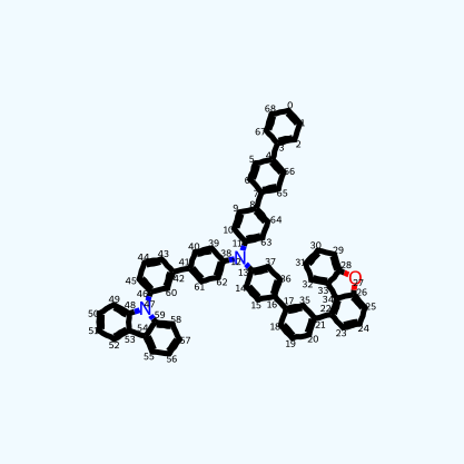 c1ccc(-c2ccc(-c3ccc(N(c4ccc(-c5cccc(-c6cccc7oc8ccccc8c67)c5)cc4)c4ccc(-c5cccc(-n6c7ccccc7c7ccccc76)c5)cc4)cc3)cc2)cc1